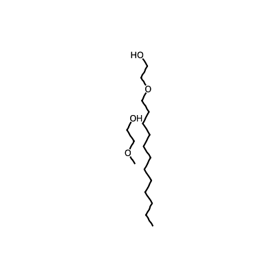 CCCCCCCCCCCCOCCO.COCCO